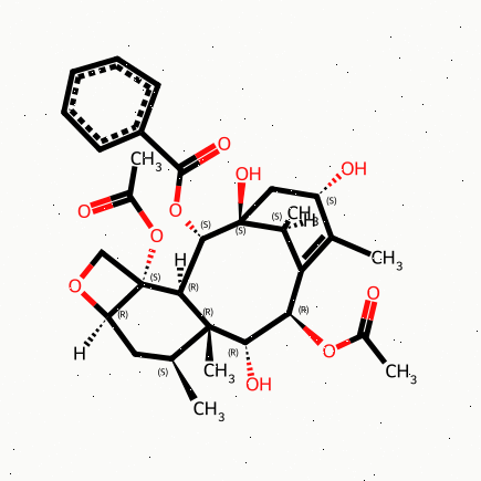 CC(=O)O[C@@H]1C2=C(C)[C@@H](O)C[C@](O)([C@H]2C)[C@@H](OC(=O)c2ccccc2)[C@@H]2[C@]3(OC(C)=O)CO[C@@H]3C[C@H](C)[C@@]2(C)[C@H]1O